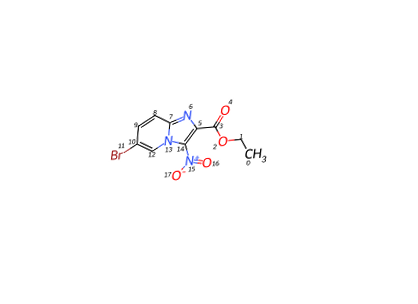 CCOC(=O)c1nc2ccc(Br)cn2c1[N+](=O)[O-]